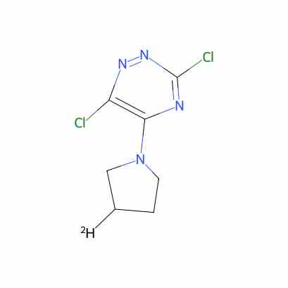 [2H]C1CCN(c2nc(Cl)nnc2Cl)C1